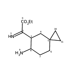 CCOC(=O)C(=N)C1CC2(CCC1N)CC2